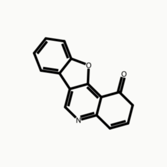 O=C1CC=Cc2ncc3c(oc4ccccc43)c21